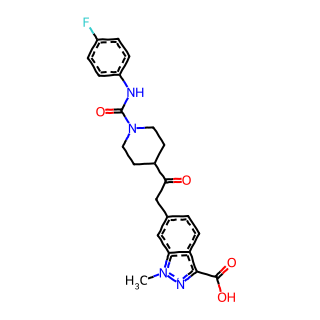 Cn1nc(C(=O)O)c2ccc(CC(=O)C3CCN(C(=O)Nc4ccc(F)cc4)CC3)cc21